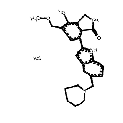 COCc1cc(-c2cc3cc(CN4CCCCC4)ccc3[nH]2)c2c(c1O)CNC2=O.Cl